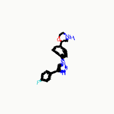 Fc1ccc(-c2cn(-c3ccc(C4CNCCO4)cc3)nn2)cc1